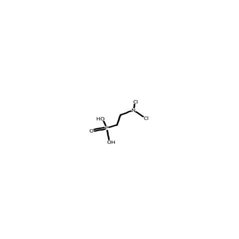 O=P(O)(O)CCN(Cl)Cl